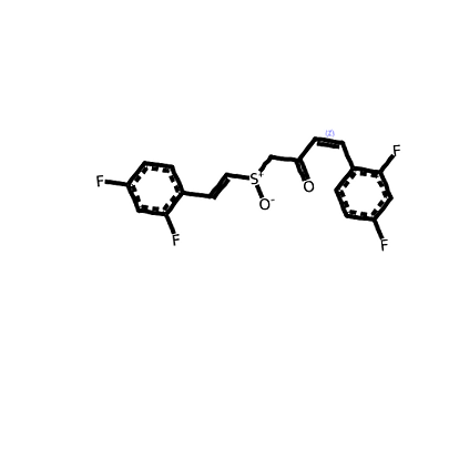 O=C(/C=C\c1ccc(F)cc1F)C[S+]([O-])C=Cc1ccc(F)cc1F